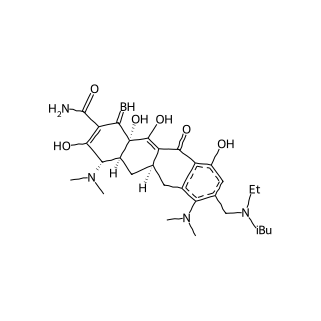 B=C1C(C(N)=O)=C(O)[C@@H](N(C)C)[C@@H]2C[C@@H]3Cc4c(c(O)cc(CN(CC)C(C)CC)c4N(C)C)C(=O)C3=C(O)[C@]12O